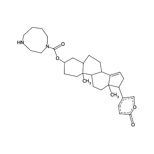 CC12CCC3C(CCC4CC(OC(=O)N5CCCCNCC5)CCC43C)C1=CCC2c1ccc(=O)oc1